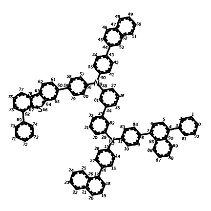 c1ccc(-c2ccc(-c3ccc(N(c4ccc(-c5cccc6ccccc56)cc4)c4cccc(-c5cccc(N(c6ccc(-c7ccc8ccccc8c7)cc6)c6ccc(-c7ccc8c(c7)sc7c(-c9ccccc9)cccc78)cc6)c5)c4)cc3)c3ccccc23)cc1